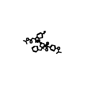 CC(C)OC(=O)Cc1nn([C@H]2CN(S(=O)(=O)c3ccc(OC(C)C)cc3)[C@@](C)(Cc3ccccc3)C2)c2cc(F)ccc12